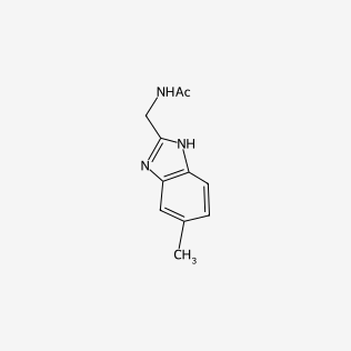 CC(=O)NCc1nc2cc(C)ccc2[nH]1